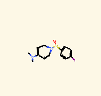 CN(C)C1CCN([S+]([O-])c2ccc(I)cc2)CC1